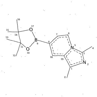 Cc1nc(C)n2ccc(B3OC(C)(C)C(C)(C)O3)cc12